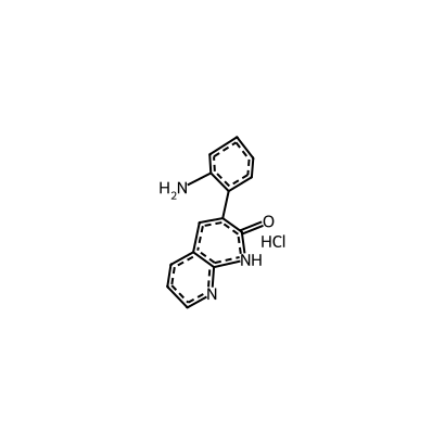 Cl.Nc1ccccc1-c1cc2cccnc2[nH]c1=O